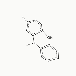 Cc1ccc(O)c(C(C)c2ccccc2)c1